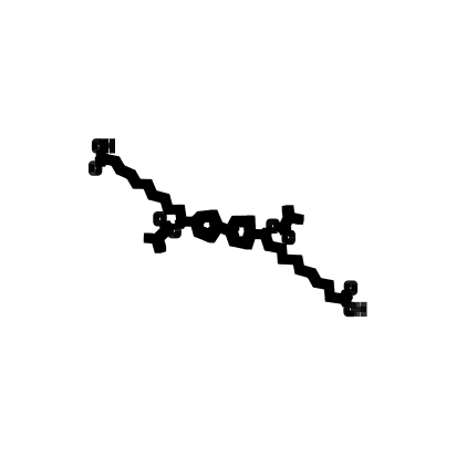 C=C(C)C(=O)OC(CCCCCCCCCC(=O)O)c1ccc(-c2ccc(C(CCCCCCCCCC(=O)O)OC(=O)C(=C)C)cc2)cc1